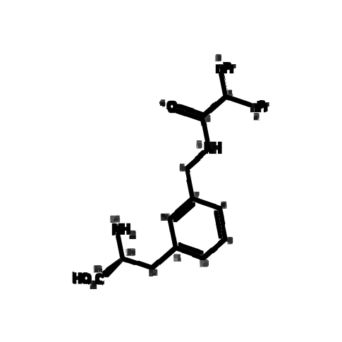 CCCC(CCC)C(=O)NCc1cccc(C[C@H](N)C(=O)O)c1